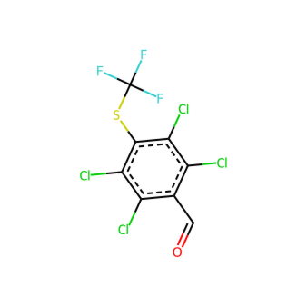 O=Cc1c(Cl)c(Cl)c(SC(F)(F)F)c(Cl)c1Cl